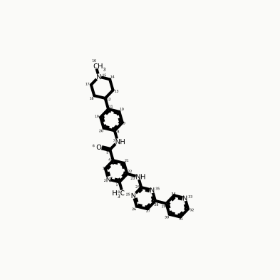 Cc1ncc(C(=O)Nc2ccc(C3CCN(C)CC3)cc2)cc1Nc1nccc(-c2cccnc2)n1